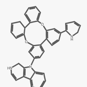 C1=CCNC(c2ccc3c(c2)Oc2ccccc2C2CC=CC=C2Oc2cc(-n4c5c(c6ccccc64)C=CNC5)ccc2-3)=C1